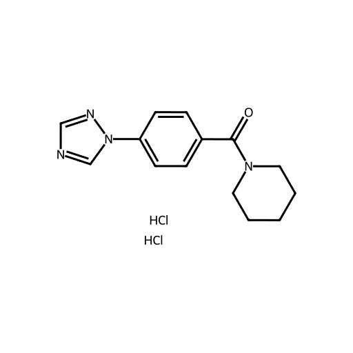 Cl.Cl.O=C(c1ccc(-n2cncn2)cc1)N1CCCCC1